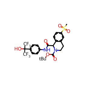 CC(C)(C)OC(=O)N1CCc2cc(S(C)(=O)=O)ccc2C1C(=O)Nc1ccc(C(O)(C(F)(F)F)C(F)(F)F)cc1